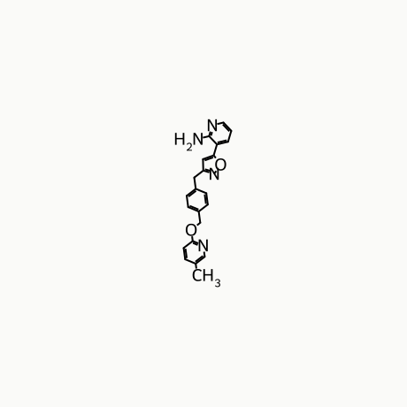 Cc1ccc(OCc2ccc(Cc3cc(-c4cccnc4N)on3)cc2)nc1